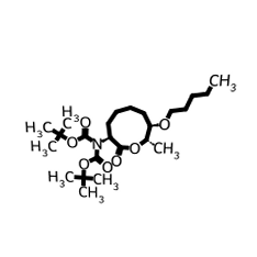 CCCCCO[C@@H]1CCCC[C@H](N(C(=O)OC(C)(C)C)C(=O)OC(C)(C)C)C(=O)O[C@H]1C